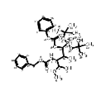 COC(O)[C@@H](NC(=O)OCc1ccccc1)C(C)C(OC(=S)Oc1ccccc1)[PH](O)(OC(C)(C)C)OC(C)(C)C